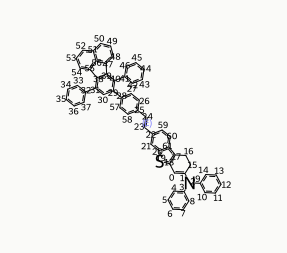 C1=C(N(c2ccccc2)c2ccccc2)CCc2c1sc1cc(/C=C/c3ccc(-c4cc(-c5ccccc5)c5c(c4-c4ccccc4)-c4cccc6cccc-5c46)cc3)ccc21